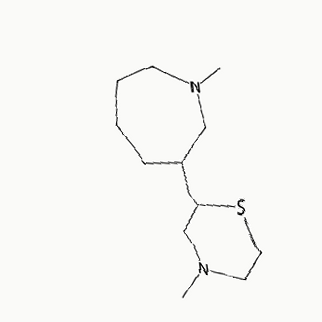 CN1CCCCC(C2CN(C)CCS2)C1